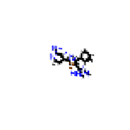 Nc1cc(-c2nc(-c3ccccc3)c(-c3nnc[nH]3)s2)ccn1